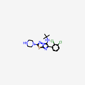 CC(C)(C)Nc1c(-c2cccc(Cl)c2Cl)nc2sc(N3CCNCC3)nn12